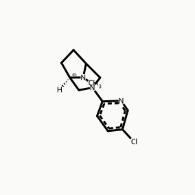 CN1C2CC[C@@H]1CN(c1ccc(Cl)cn1)C2